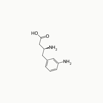 Nc1cccc(C[C@H](N)CC(=O)O)c1